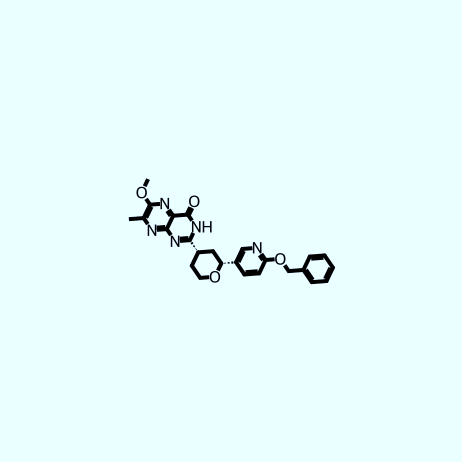 COc1nc2c(=O)[nH]c([C@H]3CCO[C@@H](c4ccc(OCc5ccccc5)nc4)C3)nc2nc1C